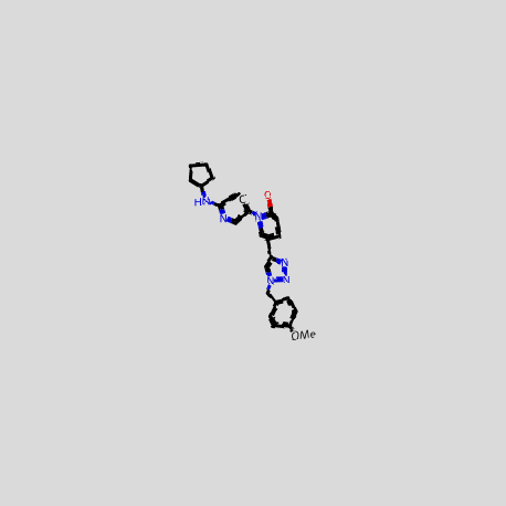 COc1ccc(Cn2cc(-c3ccc(=O)n(-c4ccc(NC5CCCC5)nc4)c3)nn2)cc1